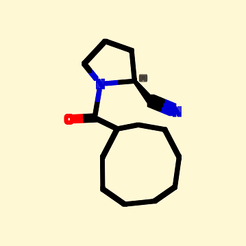 N#C[C@@H]1CCCN1C(=O)C1CCCCCCCC1